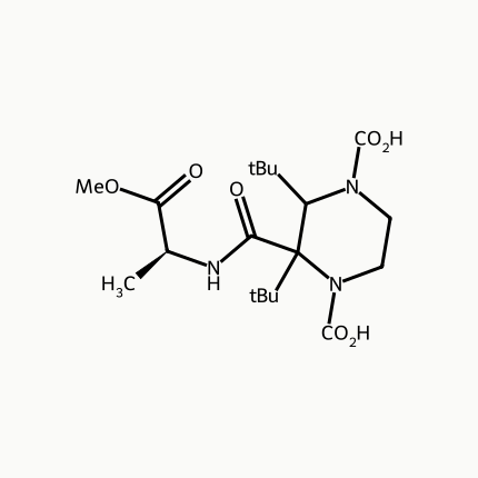 COC(=O)[C@H](C)NC(=O)C1(C(C)(C)C)C(C(C)(C)C)N(C(=O)O)CCN1C(=O)O